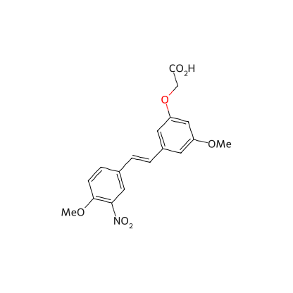 COc1cc(C=Cc2ccc(OC)c([N+](=O)[O-])c2)cc(OCC(=O)O)c1